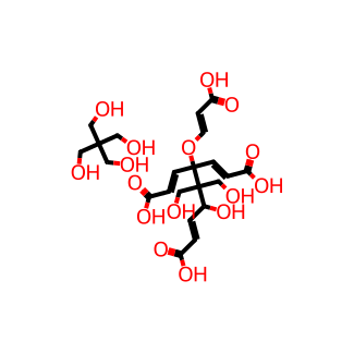 O=C(O)C=COC(C=CC(=O)O)(C=CC(=O)O)C(CO)(CO)C(O)C=CC(=O)O.OCC(CO)(CO)CO